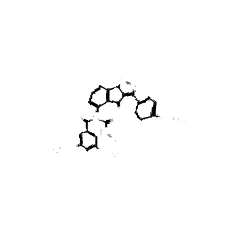 COc1ccc(C2=C3C(=O)c4c(cccc4N(C(=O)NN)C(=O)c4cc(OC)cc(OC)c4)C3N=N2)cc1